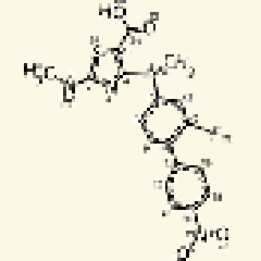 CNc1nc(C(C)c2ccc(-c3ccc([N+](=O)[O-])cc3)c(F)c2)c(C(=O)O)s1